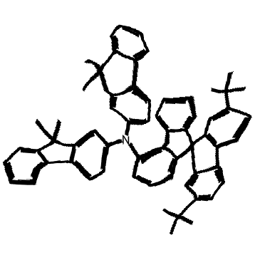 CC(C)(C)c1ccc2c(c1)C1(c3cc(C(C)(C)C)ccc3-2)c2ccccc2-c2c(N(c3ccc4c(c3)C(C)(C)c3ccccc3-4)c3ccc4c(c3)C(C)(C)c3ccccc3-4)cccc21